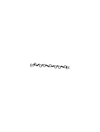 CCOCCOCOCCOCCOCOCCOCC